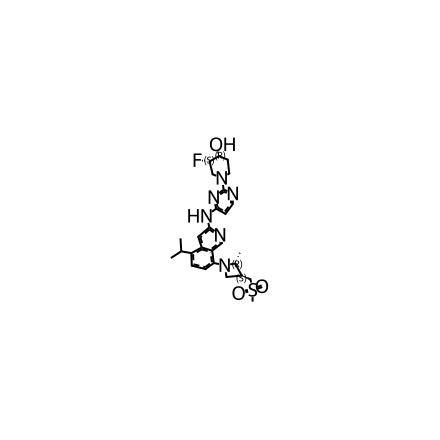 CC(C)c1ccc(N2C[C@H](CS(C)(=O)=O)[C@H]2C)c2cnc(Nc3ccnc(N4CC[C@@H](O)[C@@H](F)C4)n3)cc12